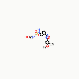 CC(C)Oc1ccc(-c2nc(-c3cccc4c3CC[C@@H]4NS(=O)(=O)CCN3CC[C@@H](O)C3)no2)cc1C#N